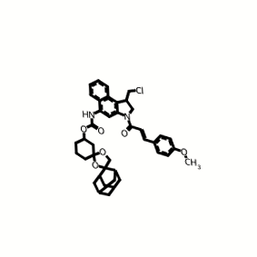 COc1ccc(/C=C/C(=O)N2CC(CCl)c3c2cc(NC(=O)OC2CCCC4(C2)OCC2(O4)C4CC5CC(C4)CC2C5)c2ccccc32)cc1